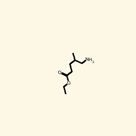 CCOC(=O)CCC(C)CN